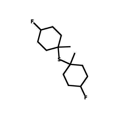 CC1(SC2(C)CCC(F)CC2)CCC(F)CC1